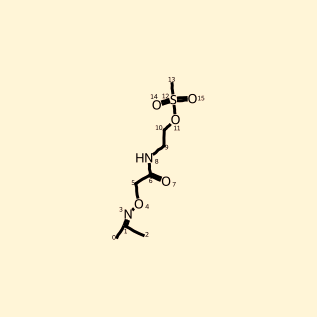 CC(C)=NOCC(=O)NCCOS(C)(=O)=O